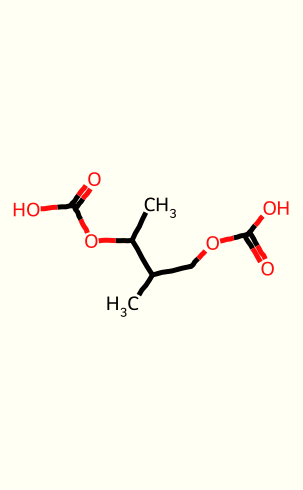 CC(COC(=O)O)C(C)OC(=O)O